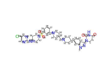 Cn1nc(N2CCC(=O)NC2=O)c2ccc(C3CCN(CC4(C)CCN(c5cccc(S(=O)(=O)N6CCC(Nc7ncc(Cl)cn7)CC6)c5)CC4)CC3)cc21